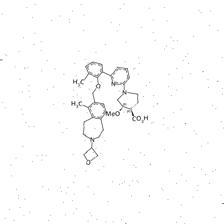 CO[C@H]1CN(c2cccc(-c3cccc(C)c3OCc3ccc4c(c3C)CCN(C3COC3)CC4)n2)CC[C@H]1C(=O)O